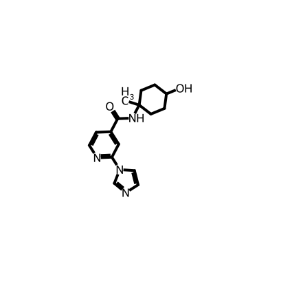 CC1(NC(=O)c2ccnc(-n3ccnc3)c2)CCC(O)CC1